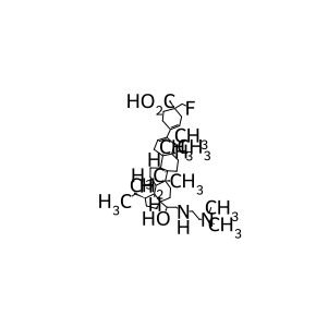 C=C(C)[C@@H]1CC[C@]2([C@H](O)CNCCN(C)C)CC[C@]3(C)[C@H](CC[C@@H]4[C@@]5(C)CC=C(C6=CC[C@](CF)(C(=O)O)CC6)C(C)(C)[C@@H]5CC[C@]43C)[C@@H]12